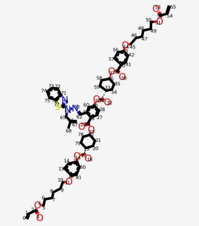 C=CC(=O)OCCCCCCOc1ccc(OC(=O)[C@H]2CC[C@H](OC(=O)c3ccc(OC(=O)[C@H]4CC[C@H](OC(=O)c5ccc(OCCCCCCOC(=O)C=C)cc5)CC4)cc3/C=N/N(CC(=C)C)c3nc4ccccc4s3)CC2)cc1